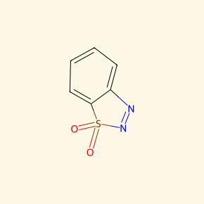 O=S1(=O)N=Nc2ccccc21